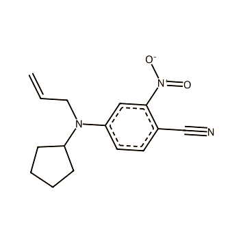 C=CCN(c1ccc(C#N)c([N+](=O)[O-])c1)C1CCCC1